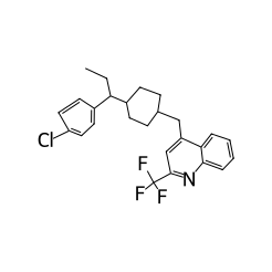 CCC(c1ccc(Cl)cc1)C1CCC(Cc2cc(C(F)(F)F)nc3ccccc23)CC1